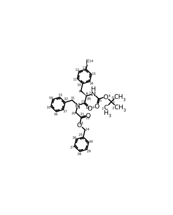 CC(C)(C)OC(=O)N[C@H](Cc1ccc(F)cc1)C(=O)N(CC(=O)OCc1ccccc1)Cc1ccccc1